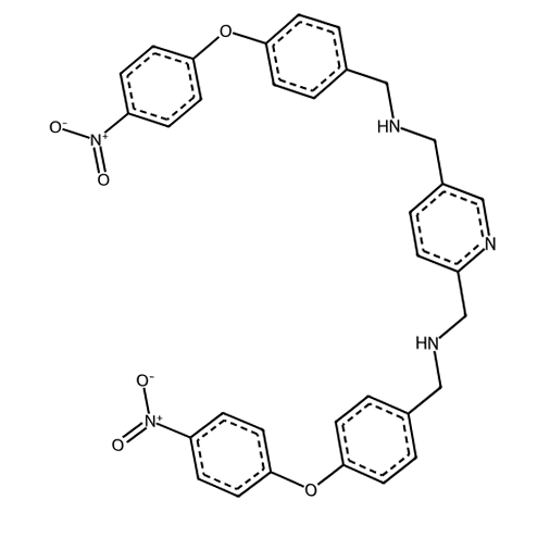 O=[N+]([O-])c1ccc(Oc2ccc(CNCc3ccc(CNCc4ccc(Oc5ccc([N+](=O)[O-])cc5)cc4)nc3)cc2)cc1